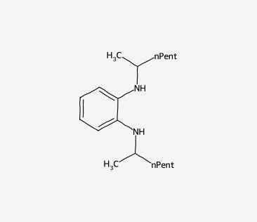 CCCCCC(C)Nc1ccccc1NC(C)CCCCC